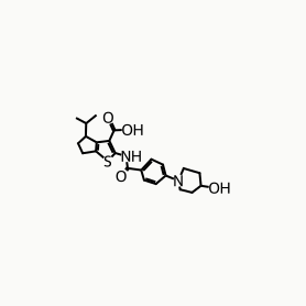 CC(C)C1CCc2sc(NC(=O)c3ccc(N4CCC(O)CC4)cc3)c(C(=O)O)c21